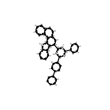 c1ccc(-c2ccc(-c3nc(-c4ccccc4)nc(-c4cc5ccc6ccccc6c5c5oc6ccccc6c45)n3)cc2)cc1